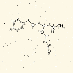 CNCC(COCc1ccccc1)OCCC=O